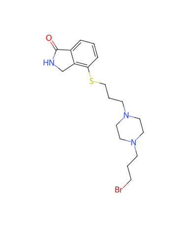 O=C1NCc2c(SCCCN3CCN(CCCBr)CC3)cccc21